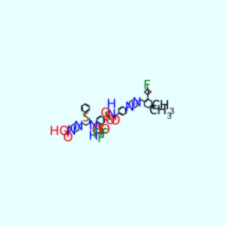 CC1(C)CCC(CN2CCN(c3ccc(C(=O)NS(=O)(=O)c4ccc(NC(CCN5CCN(C(=O)O)CC5)CSc5ccccc5)c(S(=O)(=O)C(F)(F)F)c4)cc3)CC2)=C(C23CC(F)(C2)C3)C1